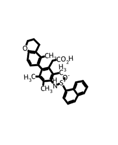 Cc1c(-c2c(C)c(C)c(N[S+]([O-])c3cccc4ccccc34)c(C)c2CC(=O)O)ccc2c1CCCO2